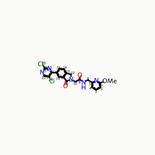 COc1cccc(CNC(=O)CN2Cc3ccc(-c4nc(Cl)ncc4Cl)cc3C2=O)n1